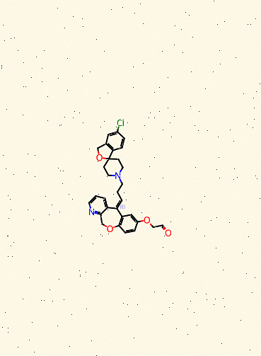 O=CCOc1ccc2c(c1)/C(=C/CCN1CCC3(CC1)OCc1cc(Cl)ccc13)c1cccnc1CO2